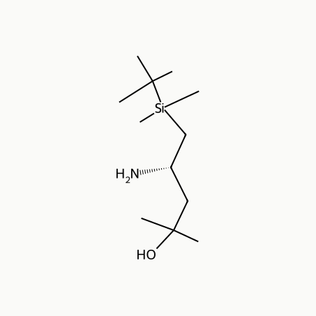 CC(C)(O)C[C@H](N)C[Si](C)(C)C(C)(C)C